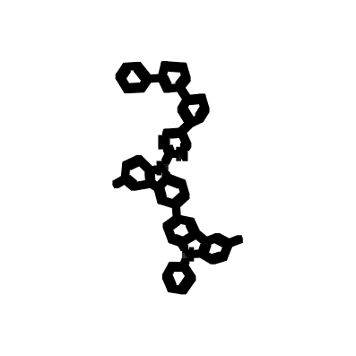 Cc1ccc2c(c1)c1cc(-c3ccc4c(c3)c3cc(C)ccc3n4-c3ncc(-c4cccc(-c5cccc(-c6ccccc6)c5)c4)cn3)ccc1n2-c1ccccc1